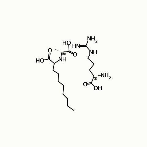 CCCCCCCCC(N[C@H](C)C(=O)O)C(=O)O.N=C(N)NCCC[C@H](N)C(=O)O